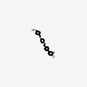 CCCc1ccc(CC[C@H]2CC[C@H](CCc3ccc(-c4ccc(Cl)c(F)c4)cc3)CC2)cc1